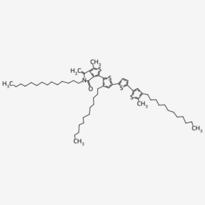 C=C1c2c(C)sc(-c3sc(-c4ccc(-c5cc(CCCCCCCCCCCC)c(C)s5)s4)cc3CCCCCCCCCCCC)c2C(=O)N1CCCCCCCCCCCCCC